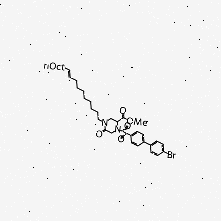 CCCCCCCC/C=C/CCCCCCCCN1CC(C(=O)OC)N(S(=O)(=O)c2ccc(-c3ccc(Br)cc3)cc2)CC1=O